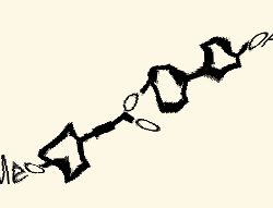 COc1ccc(C#CC(=O)Oc2ccc(-c3ccc(O)cc3)cc2)cc1